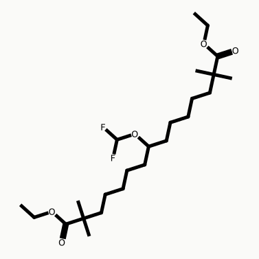 CCOC(=O)C(C)(C)CCCCCC(CCCCCC(C)(C)C(=O)OCC)OC(F)F